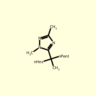 CCCCCCC(C)(CCCCC)c1nc(C)nn1C